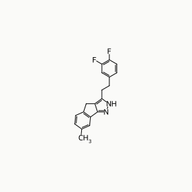 Cc1ccc2c(c1)-c1n[nH]c(CCc3ccc(F)c(F)c3)c1C2